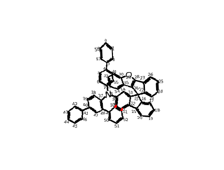 c1ccc(-c2ccc(N(c3ccc4c(c3)C3(c5ccccc5-4)c4ccccc4-c4oc5ccccc5c43)c3ccc(-c4ccccc4)cc3-c3ccccc3)cc2)cc1